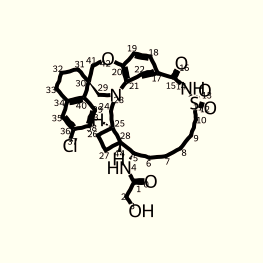 O=C(CO)N[C@H]1CCCCCS(=O)(=O)NC(=O)c2ccc3c(c2)N(C[C@@H]2CC[C@H]21)C[C@@]1(CCCc2cc(Cl)ccc21)CO3